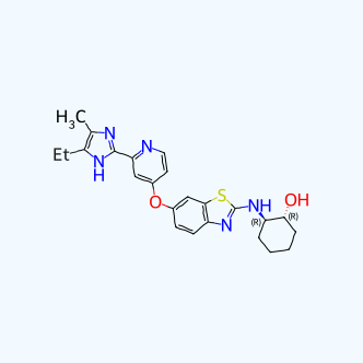 CCc1[nH]c(-c2cc(Oc3ccc4nc(N[C@@H]5CCCC[C@H]5O)sc4c3)ccn2)nc1C